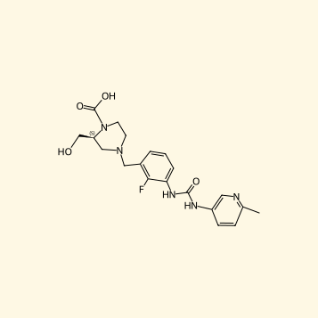 Cc1ccc(NC(=O)Nc2cccc(CN3CCN(C(=O)O)[C@H](CO)C3)c2F)cn1